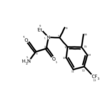 CCN(C(=O)C(N)=O)C(C)c1ccc(C(F)(F)F)cc1C